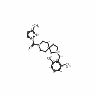 Cc1ccn(C(=O)N2CCC3(CCN(Cc4c(Cl)cccc4C(F)(F)F)C3)CC2)n1